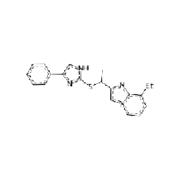 CCc1cccn2cc(C(C)Sc3nc(-c4ccccc4)c[nH]3)nc12